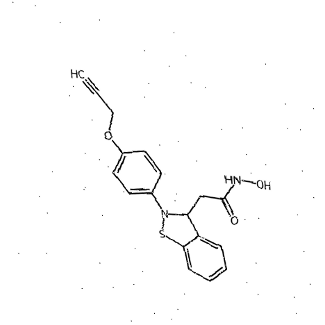 C#CCOc1ccc(N2Sc3ccccc3C2CC(=O)NO)cc1